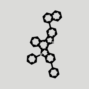 c1ccc(-c2ccc3c4c5sc6ccc(-c7cccc8ccccc78)cc6c5c5ccccc5c4n(-c4ccccc4)c3c2)cc1